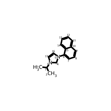 CC(C)N1[C]N(c2cccc3ccccc23)C=C1